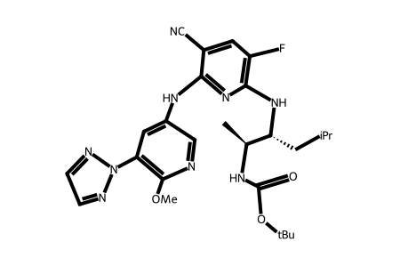 COc1ncc(Nc2nc(N[C@H](CC(C)C)[C@H](C)NC(=O)OC(C)(C)C)c(F)cc2C#N)cc1-n1nccn1